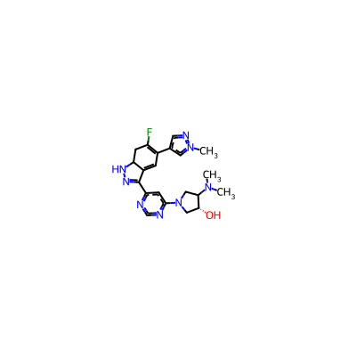 CN(C)C1CN(c2cc(C3=NNC4CC(F)=C(c5cnn(C)c5)C=C34)ncn2)C[C@H]1O